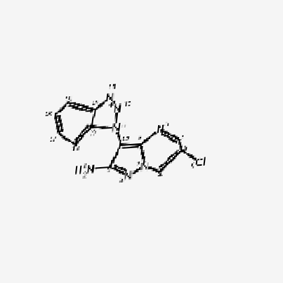 Nc1nn2cc(Cl)cnc2c1-n1nnc2ccccc21